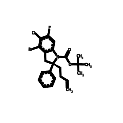 C=CCC[C@@]1(c2ccccc2)Cc2c(cc(F)c(Cl)c2Br)N1C(=O)OC(C)(C)C